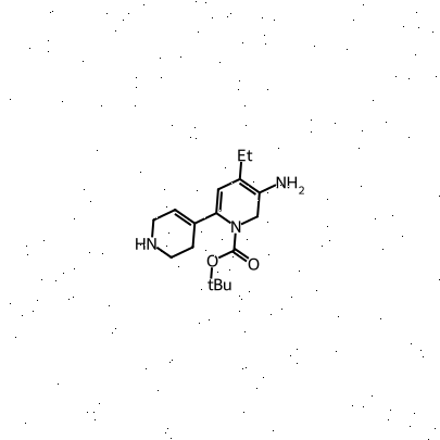 CCC1=C(N)CN(C(=O)OC(C)(C)C)C(C2=CCNCC2)=C1